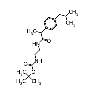 CC(C)Cc1ccc(C(C)C(=O)NCCNC(=O)OC(C)(C)C)cc1